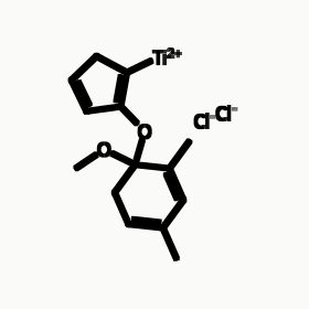 COC1(OC2=[C]([Ti+2])CC=C2)CC=C(C)C=C1C.[Cl-].[Cl-]